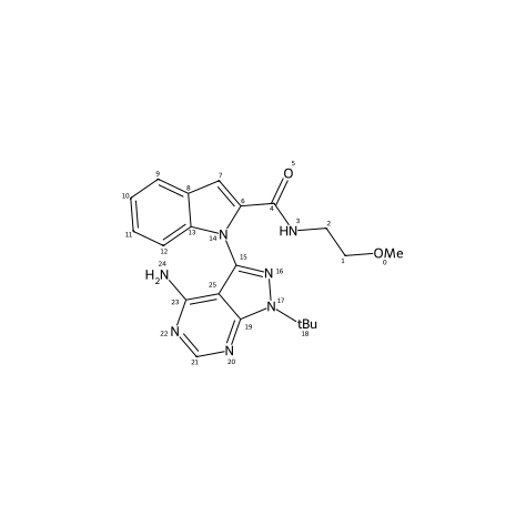 COCCNC(=O)c1cc2ccccc2n1-c1nn(C(C)(C)C)c2ncnc(N)c12